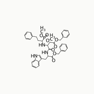 COP(=O)(OC)C(CCc1ccccc1)NC(CC(=O)OCc1ccccc1)C(=O)NC(Cc1c[nH]c2ccccc12)C(=O)OCc1ccccc1